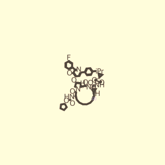 CC(C)c1ccc(-c2cc(O[C@@H]3C[C@H]4C(=O)N[C@]5(C(=O)NS(=O)(=O)C6CC6)C[C@H]5/C=C\CCCCC[C@H](NC(=O)OC5CCCC5)C(=O)N4C3)c3oc4ccc(F)cc4c3n2)cc1